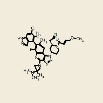 COC/C=C/C(=O)N1CC[C@H](n2nnc3c(N4CC(C)(N(C)C)C4)nc4c(F)c(-c5c(C)c(Cl)cc6[nH]ncc56)c(C)cc4c32)C[C@H]1CC#N